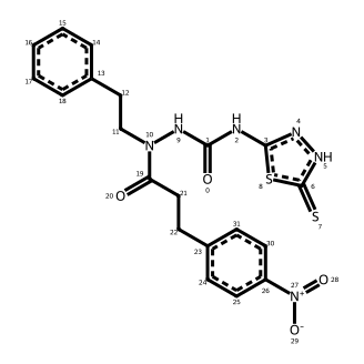 O=C(Nc1n[nH]c(=S)s1)NN(CCc1ccccc1)C(=O)CCc1ccc([N+](=O)[O-])cc1